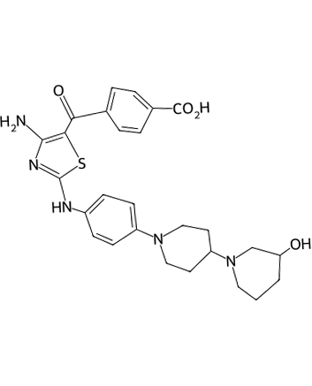 Nc1nc(Nc2ccc(N3CCC(N4CCCC(O)C4)CC3)cc2)sc1C(=O)c1ccc(C(=O)O)cc1